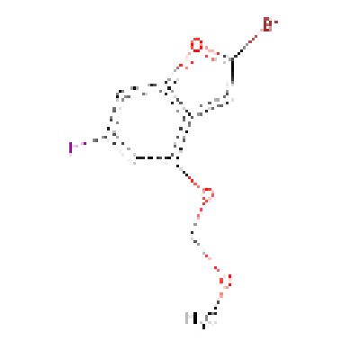 COCOc1cc(I)cc2oc(Br)cc12